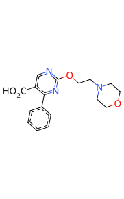 O=C(O)c1cnc(OCCN2CCOCC2)nc1-c1ccccc1